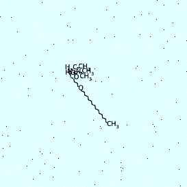 CCCCCCCCCCCCCCCCOCCCC(CC#N)OP(O)N(C(C)C)C(C)C